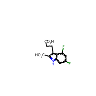 O=C(O)CCc1c(C(=O)O)[nH]c2cc(F)cc(F)c12